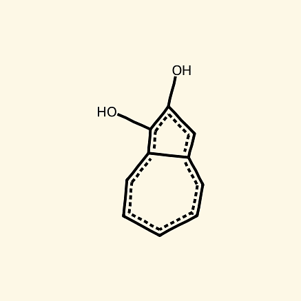 Oc1cc2cccccc-2c1O